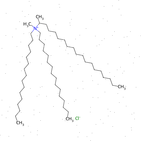 CCCCCCCCCCCCCCCCCC(C)[N+](C)(CCCCCCCCCCCCCCCC)CCCCCCCCCCCCCCCC.[Cl-]